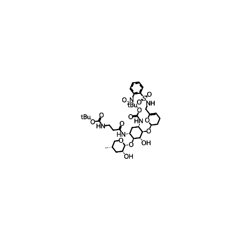 C[C@@H]1CO[C@H](O[C@@H]2[C@@H](O)[C@H](O[C@@H]3CCC=C(CNS(=O)(=O)c4ccccc4[N+](=O)[O-])O3)[C@@H](NC(=O)OC(C)(C)C)C[C@H]2NC(=O)CCNC(=O)OC(C)(C)C)[C@H](O)C1